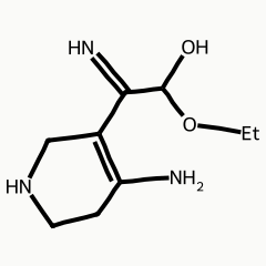 CCOC(O)C(=N)C1=C(N)CCNC1